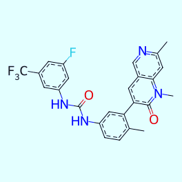 Cc1cc2c(cn1)cc(-c1cc(NC(=O)Nc3cc(F)cc(C(F)(F)F)c3)ccc1C)c(=O)n2C